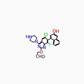 O=[C]COc1nc(N2CCNCC2)c2cc(Cl)c(-c3cc(O)cc4ccccc34)c(F)c2n1